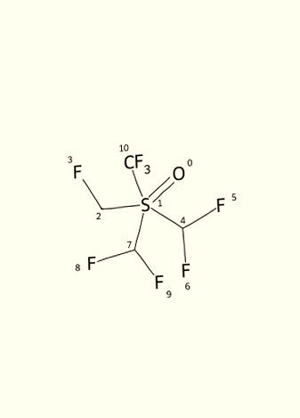 O=S(CF)(C(F)F)(C(F)F)C(F)(F)F